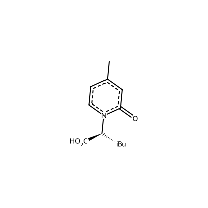 CC[C@@H](C)[C@@H](C(=O)O)n1ccc(C)cc1=O